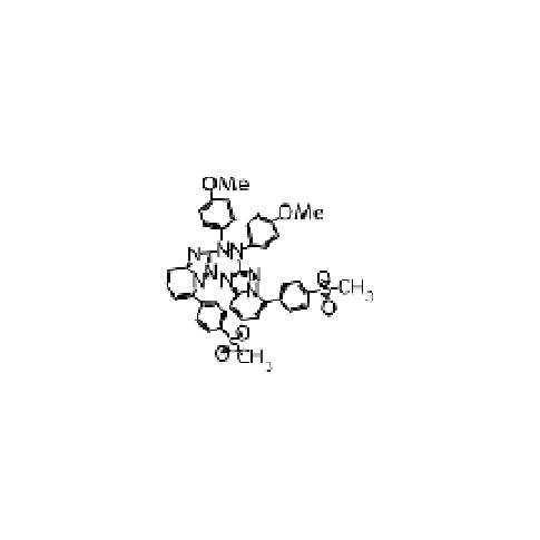 COc1ccc(N(c2nc3cccc(-c4ccc(S(C)(=O)=O)cc4)n3n2)N(c2ccc(OC)cc2)c2nc3cccc(-c4ccc(S(C)(=O)=O)cc4)n3n2)cc1